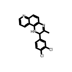 CC1=Nc2ccc3ncccc3c2NC1c1ccc(Cl)c(Cl)c1